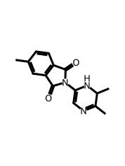 CC1=NC=C(N2C(=O)c3ccc(C)cc3C2=O)NC1C